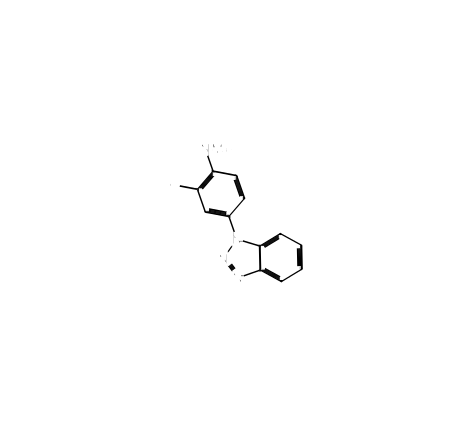 CNc1ccc(-n2nnc3ccccc32)cc1C